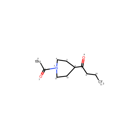 CC(C)(C)C(=O)N1CCC(C(=O)CCC(F)(F)F)CC1